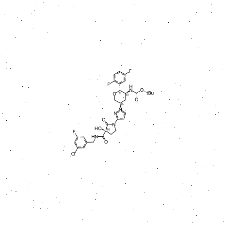 CC(C)(C)OC(=O)N[C@H]1C[C@@H](n2ccc(N3CC[C@](O)(C(=O)NCc4cc(F)cc(Cl)c4)C3=O)n2)CO[C@@H]1c1cc(F)ccc1F